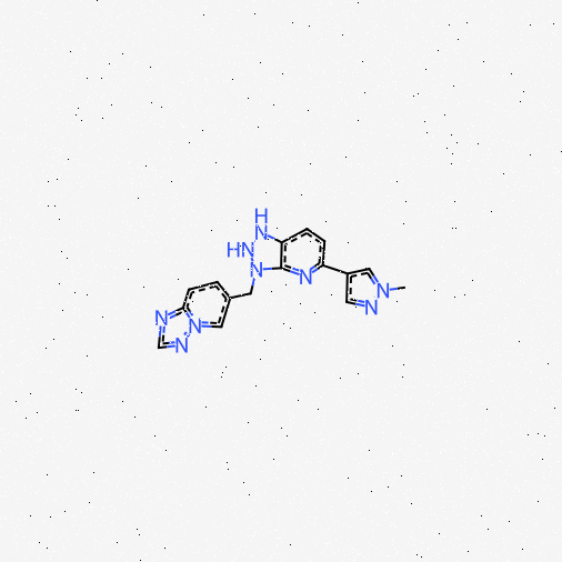 Cn1cc(-c2ccc3c(n2)N(Cc2ccc4ncnn4c2)NN3)cn1